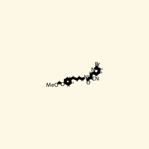 COCOc1ccc(CCCCNC(=O)C(C#N)=Cc2cccc(Br)n2)cc1